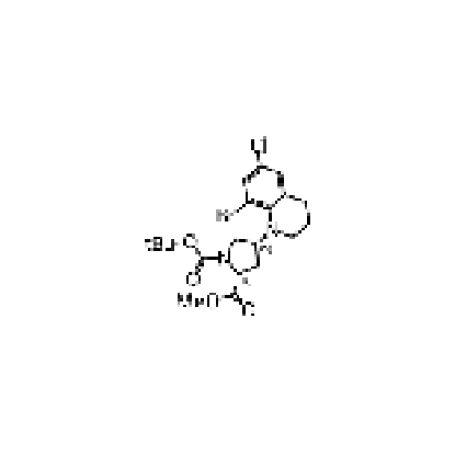 COC(=O)[C@H]1C[C@H](N2CCCc3cc(Cl)cc(Br)c32)CN1C(=O)OC(C)(C)C